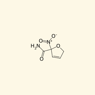 NC(=O)C1([N+](=O)[O-])C=CCO1